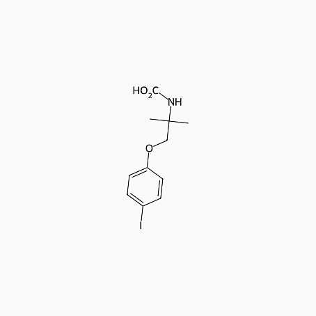 CC(C)(COc1ccc(I)cc1)NC(=O)O